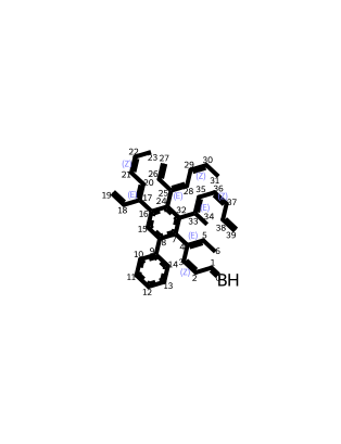 B=C/C=C\C(=C/C)c1c(-c2ccccc2)cc(/C(C=C)=C/C=C\C)c(/C(C=C)=C/C=C\C)c1/C(C)=C/C=C\C=C